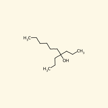 CCCCCCC(O)(CCC)CCC